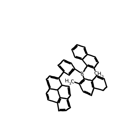 Cc1ccc2c(c1B(c1cccc(C3=CC=C4C=Cc5cccc6c5C4C3C=C6)c1)c1c(C)ccc3ccccc13)C=CCC2